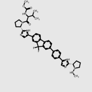 CBN1CCC[C@H]1c1ncc(-c2ccc(-c3ccc4c(c3)C(F)(F)c3cc(-c5cnc([C@@H]6CCCN6C(=O)C(NC(=O)OC)C(C)C)[nH]5)ccc3-4)cc2)[nH]1